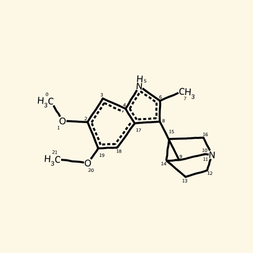 COc1cc2[nH]c(C)c(C3CN4CCC3CC4)c2cc1OC